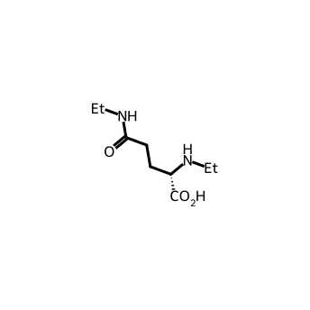 CCNC(=O)CC[C@H](NCC)C(=O)O